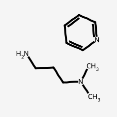 CN(C)CCCN.c1ccncc1